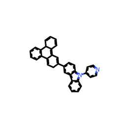 C1=CC2=C3C=C(c4ccc5c(c4)c4ccccc4n5-c4ccncc4)CC=C3c3ccccc3C2C=C1